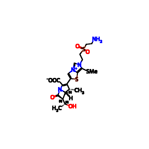 CSc1c2sc(C3=C(C(=O)[O-])N4C(=O)[C@H]([C@@H](C)O)[C@H]4[C@H]3C)c[n+]2cn1CCS(=O)(=O)CCN